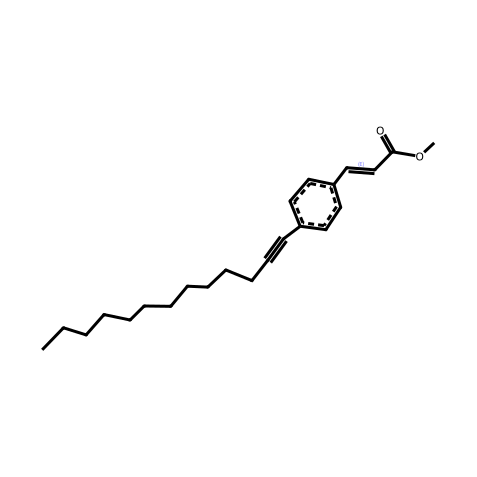 CCCCCCCCCCCC#Cc1ccc(/C=C/C(=O)OC)cc1